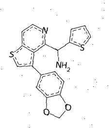 NC(c1cccs1)c1nccc2scc(-c3ccc4c(c3)OCO4)c12